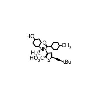 CC1CCC(C(=O)N(c2cc(C#CC(C)(C)C)sc2C(=O)O)N(C)C2CCC(O)CC2)CC1